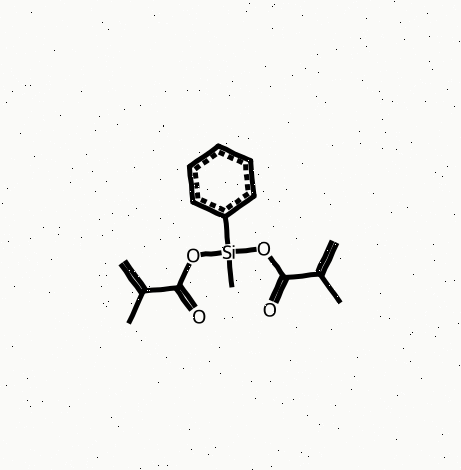 C=C(C)C(=O)O[Si](C)(OC(=O)C(=C)C)c1ccccc1